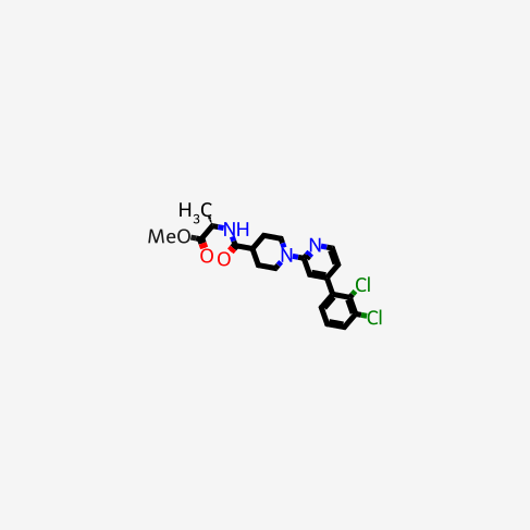 COC(=O)[C@H](C)NC(=O)C1CCN(c2cc(-c3cccc(Cl)c3Cl)ccn2)CC1